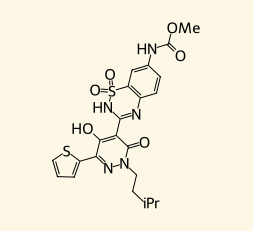 COC(=O)Nc1ccc2c(c1)S(=O)(=O)NC(c1c(O)c(-c3cccs3)nn(CCC(C)C)c1=O)=N2